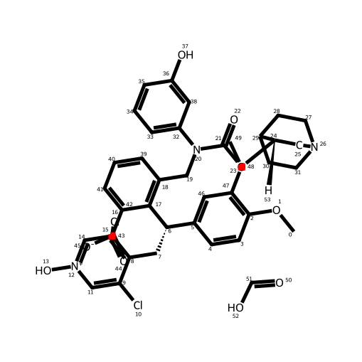 COc1ccc([C@H](Cc2c(Cl)c[n+](O)cc2Cl)c2c(CN(C(=O)O[C@H]3CN4CCC3CC4)c3cccc(O)c3)cccc2C(=O)[O-])cc1OC.O=CO